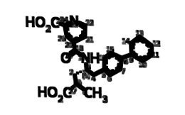 C[C@H](C[C@@H](Cc1ccc(-c2ccccc2)cc1)NC(=O)c1ccnc(C(=O)O)c1)C(=O)O